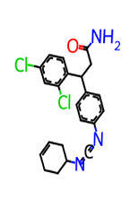 NC(=O)CC(c1ccc(N=C=NC2CC=CCC2)cc1)c1ccc(Cl)cc1Cl